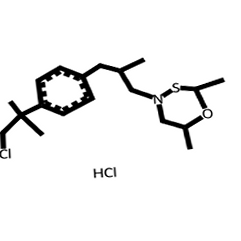 CC(Cc1ccc(C(C)(C)CCl)cc1)CN1CC(C)OC(C)S1.Cl